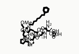 COCCOCCC(=O)N1CCCC1C(=O)N[C@@H](CC(C)C)C(=O)N[C@@H](Cc1cncn1CCCCCCCCc1ccccc1)C(=O)N[C@@H](C)C(=O)N[C@H](C(N)=O)[C@@H](C)OP(=O)(O)O